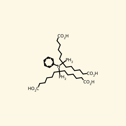 O=C(O)CCCCCC(P)(CCCCCC(=O)O)N(c1ccccc1)C(P)(CCCCCC(=O)O)CCCCCC(=O)O